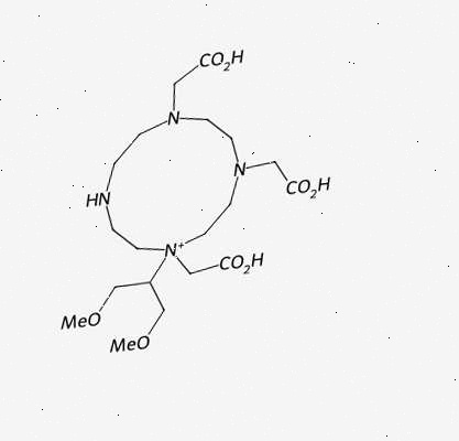 COCC(COC)[N+]1(CC(=O)O)CCNCCN(CC(=O)O)CCN(CC(=O)O)CC1